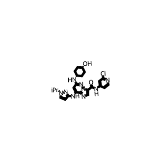 CC(C)n1ccc(Nc2cc(N[C@H]3CC[C@H](O)CC3)nn3c(C(=O)Nc4ccnc(Cl)c4)cnc23)n1